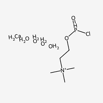 C[N+](C)(C)CCO[PH](=O)Cl.O.O.O.O.[CaH2]